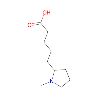 CN1CCCC1CCCCC(=O)O